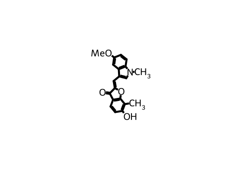 COc1ccc2c(c1)c(/C=C1\Oc3c(ccc(O)c3C)C1=O)cn2C